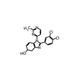 Cc1nccc(-n2c(-c3ccc(Cl)c(Cl)c3)nc3c2C=CC(O)C3)n1